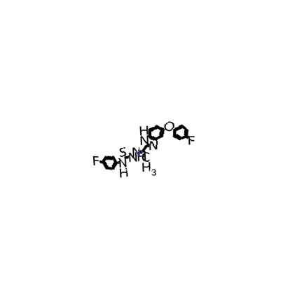 C/C(=N\NC(=S)Nc1ccc(F)cc1)c1nc2cc(Oc3ccc(F)cc3)ccc2[nH]1